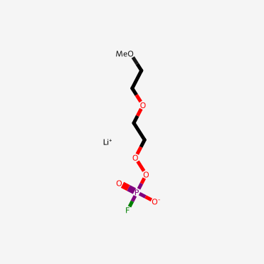 COCCOCCOOP(=O)([O-])F.[Li+]